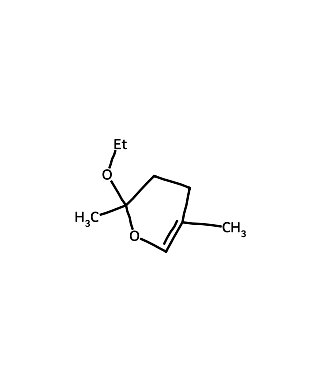 CCOC1(C)CCC(C)=CO1